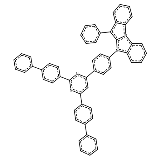 c1ccc(-c2ccc(-c3cc(-c4ccc(-n5c6ccccc6n6c7ccccc7c(-c7ccccc7)c56)cc4)nc(-c4ccc(-c5ccccc5)cc4)n3)cc2)cc1